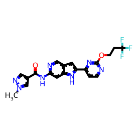 Cn1cc(C(=O)Nc2cc3[nH]c(-c4ccnc(OCCC(F)(F)F)n4)cc3cn2)cn1